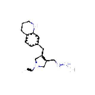 C=CN1CC(CNNC)=C(Cc2ccc3c(c2)NCCC3)C1